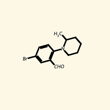 CC1CCCCN1c1ccc(Br)cc1C=O